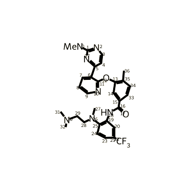 CNc1nccc(-c2cccnc2Oc2cc(C(=O)Nc3cc(C(F)(F)F)ccc3N(C)CCN(C)C)ccc2C)n1